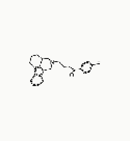 O=C(CCCN1Cc2c3n(c4ccccc24)CCCC3C1)c1ccc(F)cc1